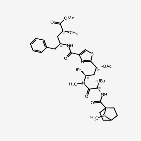 CC[C@H](C)[C@H](NC(=O)C12CCC(CC1)N2C)C(=O)N(C)[C@H](C[C@@H](OC(C)=O)c1nc(C(=O)N[C@@H](Cc2ccccc2)C[C@H](C)C(=O)OC)cs1)C(C)C